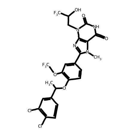 CC(Oc1ccc(-c2nc3c(c(=O)[nH]c(=O)n3CC(O)C(F)(F)F)n2C)cc1OC(F)(F)F)c1ccc(Cl)c(Cl)c1